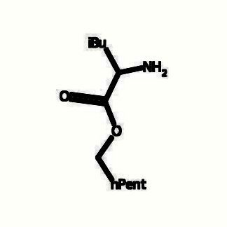 CCCCCCOC(=O)C(N)C(C)CC